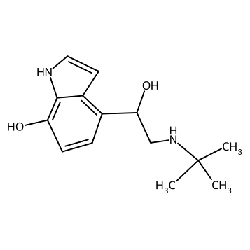 CC(C)(C)NCC(O)c1ccc(O)c2[nH]ccc12